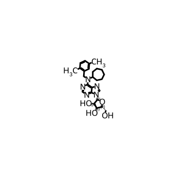 Cc1ccc(C)c(CN(c2ncnc3c2ncn3[C@@H]2O[C@H](CO)[C@@H](O)[C@H]2O)C2CCCCCC2)c1